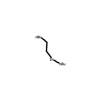 CCCCC[CH2][Zn][CH2]CCC